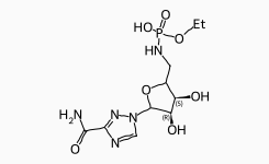 CCOP(=O)(O)NCC1OC(n2cnc(C(N)=O)n2)[C@H](O)[C@@H]1O